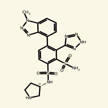 Cn1nnc2c(-c3ccc(S(=O)(=O)N[C@H]4CCNC4)c(S(N)(=O)=O)c3-c3nn[nH]n3)cccc21